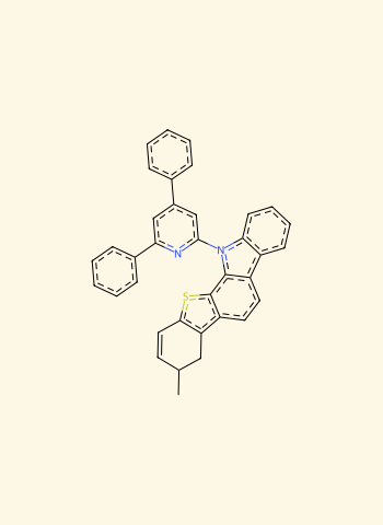 CC1C=Cc2sc3c(ccc4c5ccccc5n(-c5cc(-c6ccccc6)cc(-c6ccccc6)n5)c43)c2C1